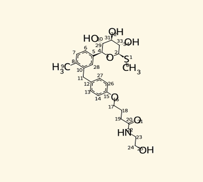 CS[C@H]1O[C@@H](c2ccc(C)c(Cc3ccc(OCCCC(=O)NCCO)cc3)c2)[C@H](O)[C@@H](O)[C@@H]1O